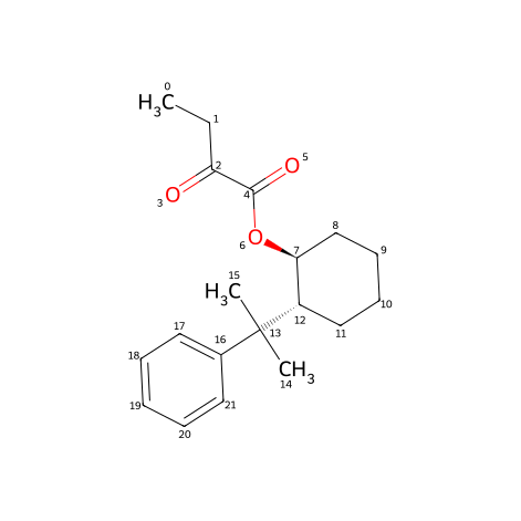 CCC(=O)C(=O)O[C@H]1CCCC[C@@H]1C(C)(C)c1ccccc1